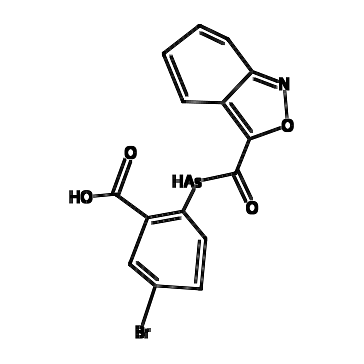 O=C(O)c1cc(Br)ccc1[AsH]C(=O)c1onc2ccccc12